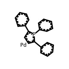 [Pd].c1ccc(-c2ccc(-c3ccccc3)p2-c2ccccc2)cc1